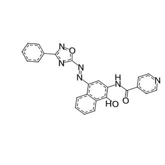 O=C(Nc1cc(/N=N/c2nc(-c3ccccc3)no2)c2ccccc2c1O)c1ccncc1